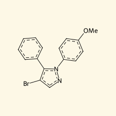 COc1ccc(-n2ncc(Br)c2-c2ccccc2)cc1